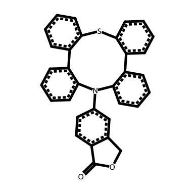 O=C1OCc2cc(N3c4ccccc4-c4ccccc4Sc4ccccc4-c4ccccc43)ccc21